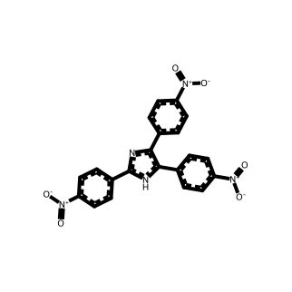 O=[N+]([O-])c1ccc(-c2nc(-c3ccc([N+](=O)[O-])cc3)c(-c3ccc([N+](=O)[O-])cc3)[nH]2)cc1